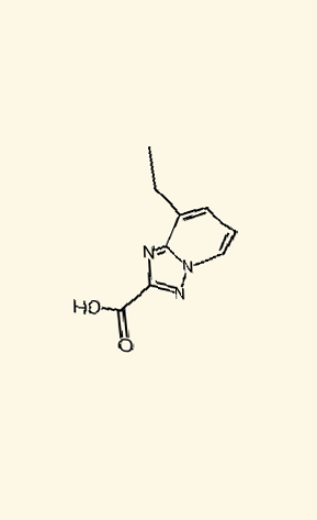 CCc1cccn2nc(C(=O)O)nc12